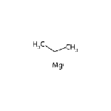 CCC.[Mg]